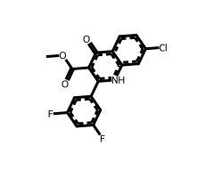 COC(=O)c1c(-c2cc(F)cc(F)c2)[nH]c2cc(Cl)ccc2c1=O